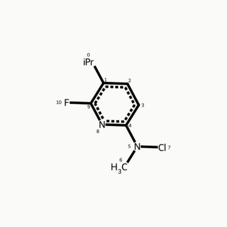 CC(C)c1ccc(N(C)Cl)nc1F